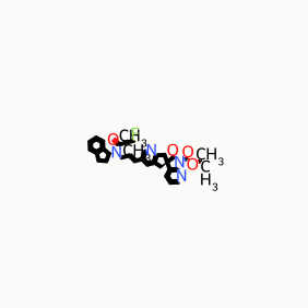 CC(C)OC(=O)N1C(=O)[C@]2(Cc3cc(/C=C/CN(C(=O)C(C)(C)CF)[C@@H]4CCc5ccccc54)cnc3C2)c2cccnc21